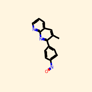 Cc1cc2cccnc2nc1-c1ccc(N=O)cc1